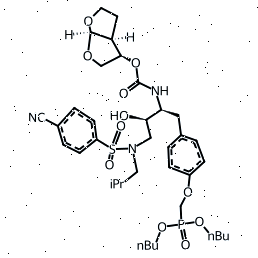 CCCCOP(=O)(COc1ccc(C[C@H](NC(=O)O[C@H]2CO[C@H]3OCC[C@H]32)[C@H](O)CN(CC(C)C)S(=O)(=O)c2ccc(C#N)cc2)cc1)OCCCC